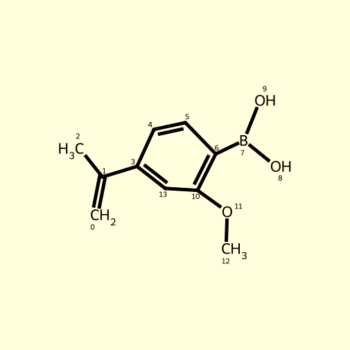 C=C(C)c1ccc(B(O)O)c(OC)c1